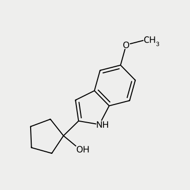 COc1ccc2[nH]c(C3(O)CCCC3)cc2c1